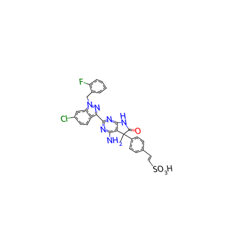 CC1(c2ccc(/C=C/S(=O)(=O)O)cc2)C(=O)Nc2nc(-c3nn(Cc4ccccc4F)c4cc(Cl)ccc34)nc(N)c21